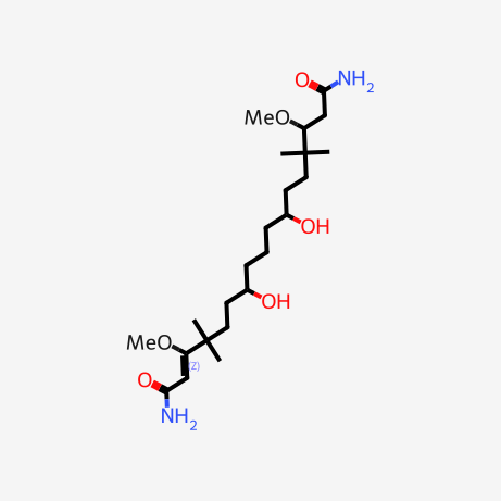 CO/C(=C\C(N)=O)C(C)(C)CCC(O)CCCC(O)CCC(C)(C)C(CC(N)=O)OC